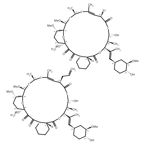 C=CC[C@@H]1/C=C(\C)C[C@H](C)C[C@H](OC)[C@H]2O[C@@](O)(C(=O)C(=O)N3CCCC[C@H]3C(=O)O[C@H](/C(C)=C/[C@@H]3CC[C@@H](O)[C@H](OC)C3)[C@H](C)[C@@H](O)CC1=O)[C@H](C)C[C@@H]2OC.CC[C@@H]1/C=C(\C)C[C@H](C)C[C@H](OC)[C@H]2O[C@@](O)(C(=O)C(=O)N3CCCC[C@H]3C(=O)O[C@H](/C(C)=C/[C@@H]3CC[C@@H](O)[C@H](OC)C3)[C@H](C)[C@@H](O)CC1=O)[C@H](C)C[C@@H]2OC